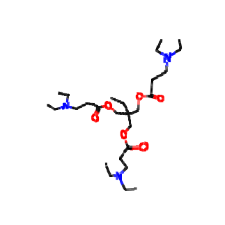 CCN(CC)CCC(=O)OCC(CC)(COC(=O)CCN(CC)CC)COC(=O)CCN(CC)CC